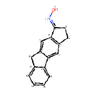 ON=C1CCc2cc3c(cc21)Cc1ccccc1-3